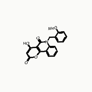 COc1ccccc1Cn1c(=O)c2c(O)cc(=O)oc2c2ccccc21